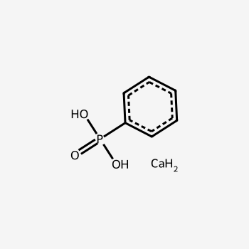 O=P(O)(O)c1ccccc1.[CaH2]